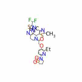 CCc1nc(N2CCCS2(=O)=O)ccc1OCC(=O)N1CCc2nc3sc(C(F)F)nn3c2C1c1sc(C)nc1C